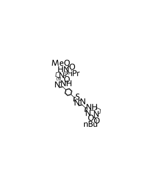 CCCCOC(=O)N1CCCC1c1ncc(-c2cn3cc(-c4ccc(-c5cnc([C@@H]6CCCN6C(=O)[C@@H](NC(=O)OC)C(C)C)[nH]5)cc4)sc3n2)[nH]1